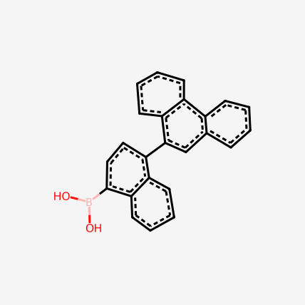 OB(O)c1ccc(-c2cc3ccccc3c3ccccc23)c2ccccc12